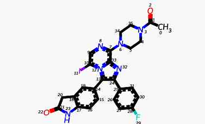 CC(=O)N1CCN(c2ncc(I)n3c(-c4ccc5c(c4)CC(=O)N5)c(-c4ccc(F)cc4)nc23)CC1